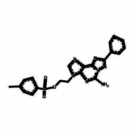 Cc1ccc(S(=O)(=O)OCCn2cnc3c2nc(N)n2nc(-c4ccccc4)nc32)cc1